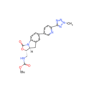 Cn1nnc(-c2ccc(-c3ccc4c(c3)C[C@H]3[C@H](CNC(=O)OC(C)(C)C)OC(=O)N43)cn2)n1